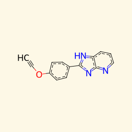 C#COc1ccc(-c2nc3ncccc3[nH]2)cc1